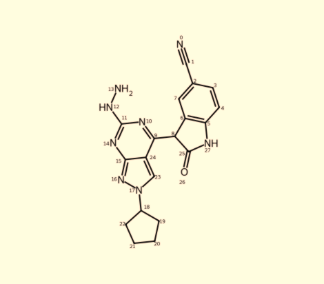 N#Cc1ccc2c(c1)C(c1nc(NN)nc3nn(C4CCCC4)cc13)C(=O)N2